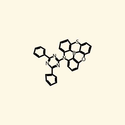 c1ccc(-c2nc(-c3ccccc3)nc(N3c4cccc5c4B4c6c(cccc6Sc6cccc3c64)O5)n2)cc1